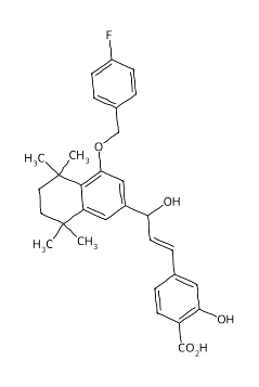 CC1(C)CCC(C)(C)c2c(OCc3ccc(F)cc3)cc(C(O)C=Cc3ccc(C(=O)O)c(O)c3)cc21